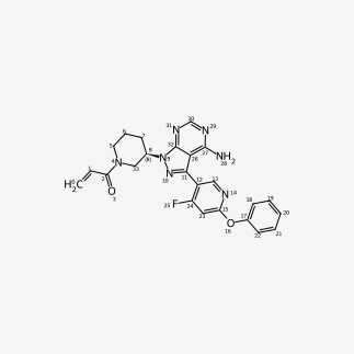 C=CC(=O)N1CCC[C@@H](n2nc(-c3cnc(Oc4ccccc4)cc3F)c3c(N)ncnc32)C1